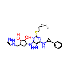 CCCSc1nc(NC2CC2c2ccccc2)c2nnn(C3CC(Cn4ccnn4)[C@@H](O)[C@H]3O)c2n1